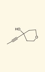 CC#CC1(O)CCOCC1